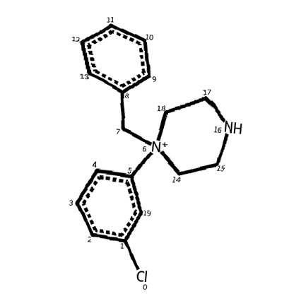 Clc1cccc([N+]2(Cc3ccccc3)CCNCC2)c1